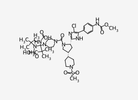 COC(=O)Nc1ccc(-c2[nH]c([C@@H]3C[C@H](C4CCN(S(C)(=O)=O)CC4)CN3C(=O)N3CCN(C(NC(=O)O)(N(C(=O)O)C(C)(C)C)C(C)(C)C)CC3)nc2Cl)cc1